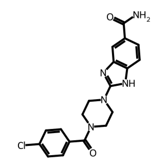 NC(=O)c1ccc2[nH]c(N3CCN(C(=O)c4ccc(Cl)cc4)CC3)nc2c1